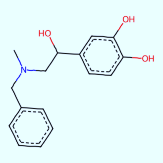 CN(Cc1ccccc1)CC(O)c1ccc(O)c(O)c1